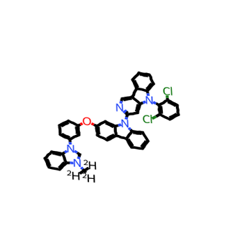 [2H]C([2H])([2H])N1CN(c2cccc(Oc3ccc4c5ccccc5n(-c5cc6c(cn5)c5ccccc5n6-c5c(Cl)cccc5Cl)c4c3)c2)c2ccccc21